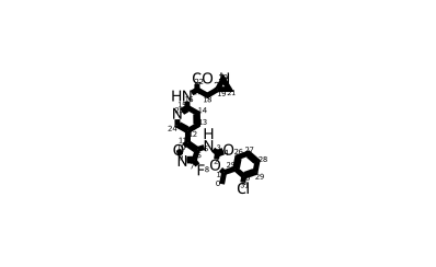 CC(OC(=O)Nc1c(F)noc1-c1ccc(NC(CC2CC2)C(=O)O)nc1)c1ccccc1Cl